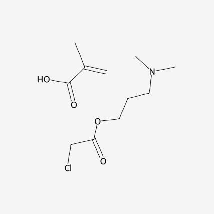 C=C(C)C(=O)O.CN(C)CCCOC(=O)CCl